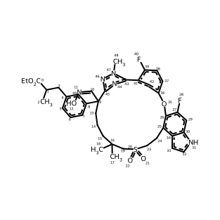 CCOC(=O)C(C)Cc1cccc(C2(/C=N\O)CCCC(C)(C)CS(=O)(=O)CCc3c(c(F)cc4[nH]ccc34)Oc3ccc(F)c(c3)-c3nc2nn3C)c1